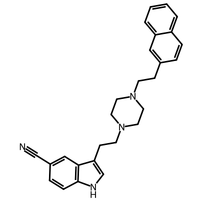 N#Cc1ccc2[nH]cc(CCN3CCN(CCc4ccc5ccccc5c4)CC3)c2c1